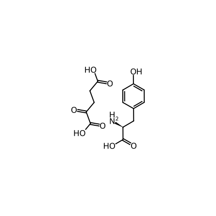 N[C@@H](Cc1ccc(O)cc1)C(=O)O.O=C(O)CCC(=O)C(=O)O